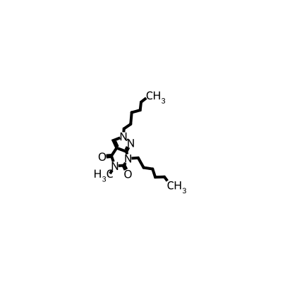 CCCCCCn1cc2c(=O)n(C)c(=O)n(CCCCCC)c2n1